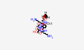 CCCCCCCCc1ccc(C(=O)N[C@@H](CCCCN)C(=O)N[C@H](C(=O)N[C@@H](C)C(=O)N[C@@H](CCCCN)C(=O)N[C@@H](C)B2O[C@@H]3C[C@@H]4C[C@@H](C4(C)C)[C@]3(C)O2)[C@@H](C)O)c(C)c1